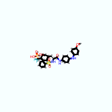 COc1ccc(Nc2ccc(NC(=O)[C@H](Cc3ccc(C(F)(F)P(=O)(O)O)cc3)NS(=O)(=O)c3ccccc3)cc2)cc1